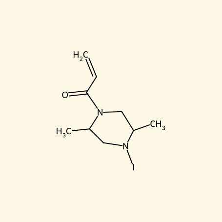 C=CC(=O)N1CC(C)N(I)CC1C